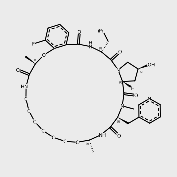 CC(C)C[C@H]1NC(=O)c2cccc(F)c2O[C@H](C)C(=O)NCCCCCCC[C@@H](C)NC(=O)[C@H](Cc2cccnc2)N(C)C(=O)[C@H]2C[C@H](O)CN2C1=O